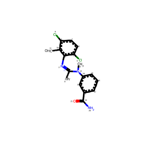 CCC/C(=N/c1c(Cl)ccc(Cl)c1C=O)N(C)c1cccc(C(N)=O)c1